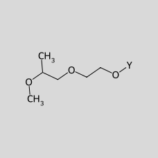 COC(C)COCC[O][Y]